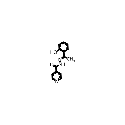 C/C(=N\NC(=O)c1ccncc1)c1ccccc1O